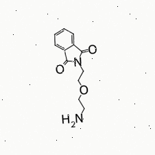 NCCOCCN1C(=O)c2ccccc2C1=O